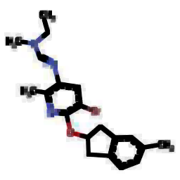 CCN(C)/C=N/c1cc(Br)c(OC2Cc3ccc(C)cc3C2)nc1C